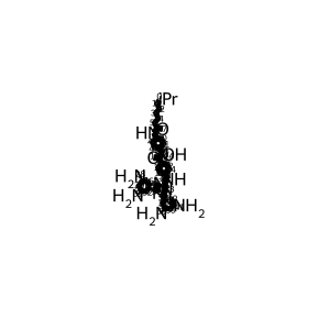 CC(C)CCCCCC(=O)Nc1ccc(N(O)C(=O)c2ccc(Nc3nc(N4C[C@H](N)C[C@H](N)C4)nc(N4C[C@H](N)C[C@H](N)C4)n3)cc2)cc1